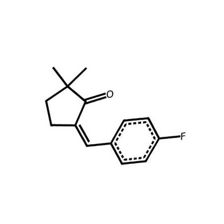 CC1(C)CCC(=Cc2ccc(F)cc2)C1=O